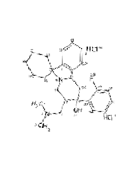 CN(C)CC1CN(C2(c3ccccc3)CCCCC2)CCC1(O)c1ccccc1F.Cl.Cl